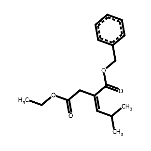 CCOC(=O)C/C(=C/C(C)C)C(=O)OCc1ccccc1